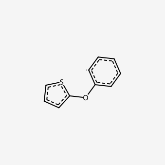 [c]1ccccc1Oc1cccs1